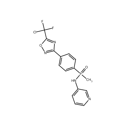 CP(=O)(Nc1cccnc1)c1ccc(-c2noc(C(F)(F)Cl)n2)cc1